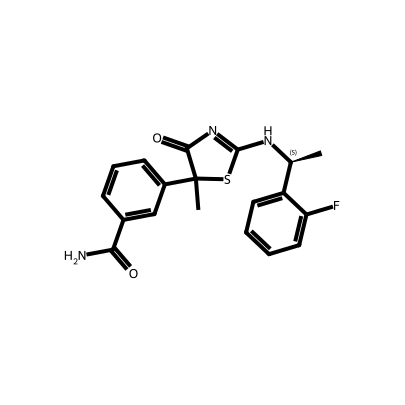 C[C@H](NC1=NC(=O)C(C)(c2cccc(C(N)=O)c2)S1)c1ccccc1F